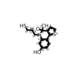 CC1(C)c2ccsc2-c2ccc(O)cc2N1CCCS